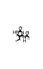 CCc1c[nH]c(=O)nc1NC(C)=O